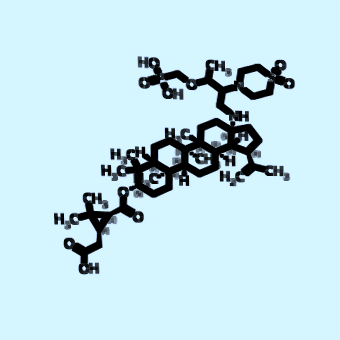 C=C(C)[C@@H]1CC[C@]2(NCC(C(C)OCP(=O)(O)O)N3CCS(=O)(=O)CC3)CC[C@]3(C)[C@H](CC[C@@H]4[C@@]5(C)CC[C@H](OC(=O)[C@H]6[C@@H](CC(=O)O)C6(C)C)C(C)(C)[C@@H]5CC[C@]43C)[C@@H]12